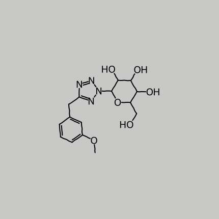 COc1cccc(Cc2nnn(C3OC(CO)C(O)C(O)C3O)n2)c1